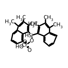 Cc1c(C)c([SiH]([O][Cr](=[O])(=[O])[OH])c2c(C)c(C)c(C)c3ccccc23)c2ccccc2c1C